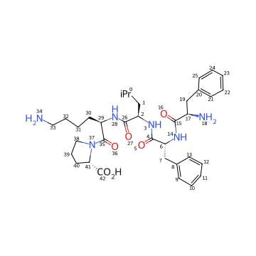 CC(C)C[C@@H](NC(=O)[C@@H](Cc1ccccc1)NC(=O)[C@H](N)Cc1ccccc1)C(=O)N[C@H](CCCCN)C(=O)N1CCC[C@H]1C(=O)O